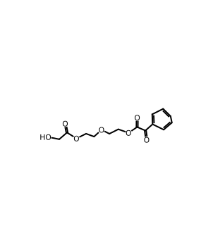 O=C(CO)OCCOCCOC(=O)C(=O)c1ccccc1